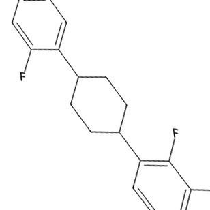 Cc1ccc(C2CCC(c3ccccc3F)CC2)c(F)c1F